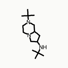 CC(C)(C)NC1CC2CN(C(C)(C)C)CCN2C1